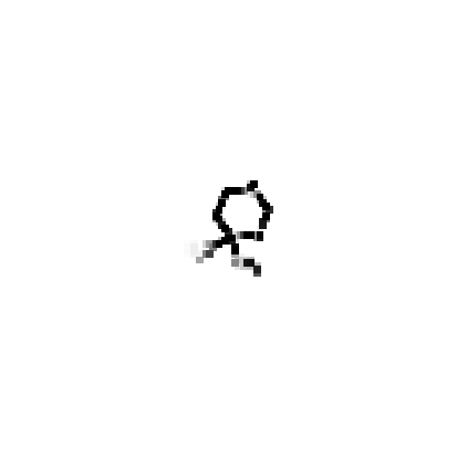 CC1(C)CCSCS1